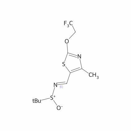 Cc1nc(OCC(F)(F)F)sc1/C=N/[S+]([O-])C(C)(C)C